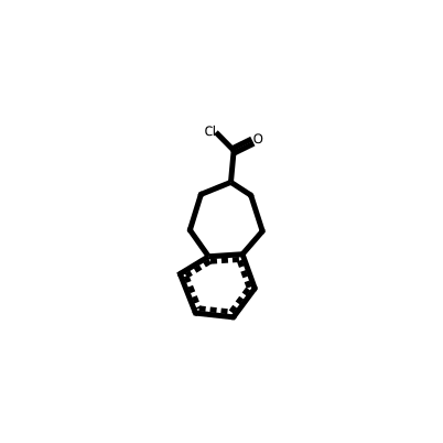 O=C(Cl)C1CCc2ccccc2CC1